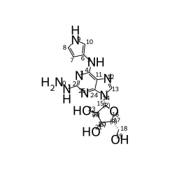 NNc1nc(Nc2cc[nH]c2)c2ncn([C@@H]3O[C@H](CO)[C@@H](O)[C@H]3O)c2n1